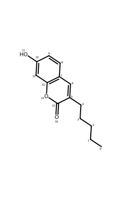 CCCCCc1cc2ccc(O)cc2oc1=O